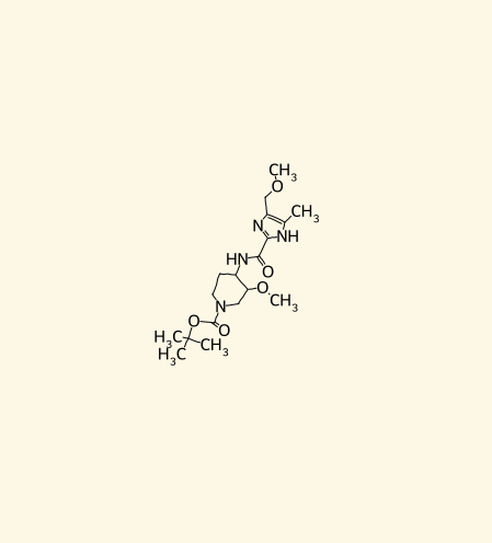 COCc1nc(C(=O)NC2CCN(C(=O)OC(C)(C)C)CC2OC)[nH]c1C